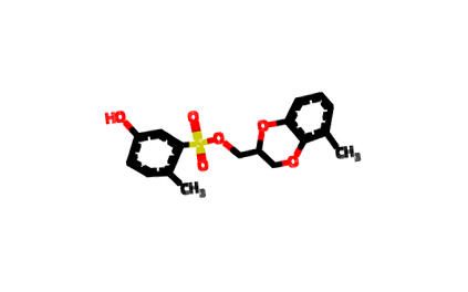 Cc1ccc(O)cc1S(=O)(=O)OCC1COc2c(C)cccc2O1